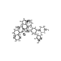 CN1CCN(c2cc(OCC(F)(F)F)c(Nc3nc(Nc4ccc5nccnc5c4P=O)c4cc[nH]c4n3)cc2-c2cnn(C)c2)CC1